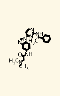 C[C@H](Nc1nccc(-n2cnc3cc(NC(=O)CN(C)C)ccc32)n1)c1ccccc1